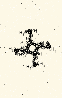 COc1cc(O)c2cc1C(c1ccc(C(=O)OCOC34CC5CC(C)(CC(OC)(C5)C3)C4)cc1)c1cc(c(OC)cc1O)C(c1ccc(C(=O)OCOC34CC5CC(C)(CC(OC)(C5)C3)C4)cc1)c1cc(c(CO)cc1O)C(c1ccc(C(=O)OCOC34CC5CC(C)(CC(OC)(C5)C3)C4)cc1)c1cc(c(CO)cc1O)C2c1ccc(C(=O)OCOC23CC4CC(C)(CC(OC)(C4)C2)C3)cc1